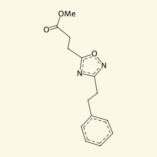 COC(=O)CCc1nc(CCc2ccccc2)no1